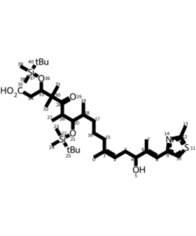 C/C(=C/CC(O)/C(C)=C/c1csc(C)n1)CCCC(C)C(O[Si](C)(C)C(C)(C)C)C(C)C(=O)C(C)(C)C(CC(=O)O)O[Si](C)(C)C(C)(C)C